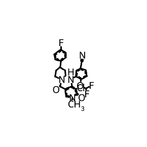 Cn1cc(C(=O)N2CCC(c3ccc(F)cc3)CC2)c(Nc2cc(C#N)ccc2OC(F)F)c(Cl)c1=O